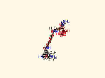 CC(C)(CNC(=O)CCOCCOCCOCCOCCNC(=O)c1ccc(-c2c3ccc(=N)c(S(=O)(=O)O)c-3oc3c(S(=O)(=O)O)c(N)ccc23)c(C(=O)O)c1)SSCOC1C[C@H](n2ccc(N)nc2=O)O[C@@H]1COP(=O)(O)OP(=O)(O)OP(=O)(O)O